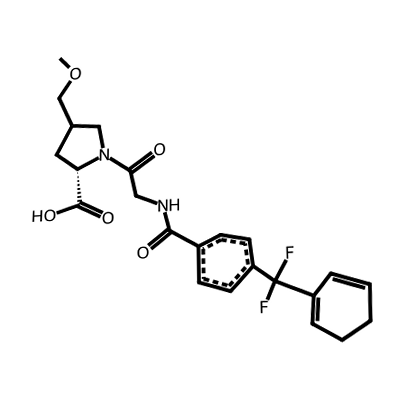 COCC1C[C@@H](C(=O)O)N(C(=O)CNC(=O)c2ccc(C(F)(F)C3=CCCC=C3)cc2)C1